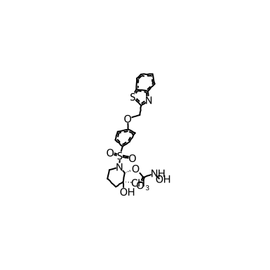 C[C@]1(O)CCCN(S(=O)(=O)c2ccc(OCc3nc4ccccc4s3)cc2)[C@@H]1OC(=O)NO